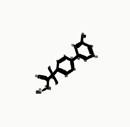 CC[C@@H](C)NC(=O)C(C)(C)c1ccc(-c2cncc(C#N)n2)cc1